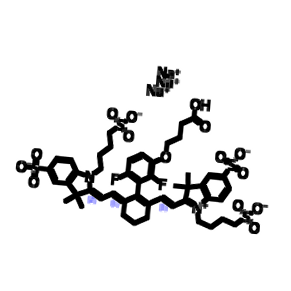 CC1(C)C(/C=C/C2=C(c3c(F)ccc(OCCCC(=O)O)c3F)C(=C/C=C3\N(CCCCS(=O)(=O)[O-])c4ccc(S(=O)(=O)[O-])cc4C3(C)C)/CCC2)=[N+](CCCCS(=O)(=O)[O-])c2ccc(S(=O)(=O)[O-])cc21.[Na+].[Na+].[Na+]